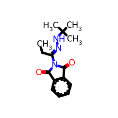 CC/C(=N\NC(C)(C)C)N1C(=O)c2ccccc2C1=O